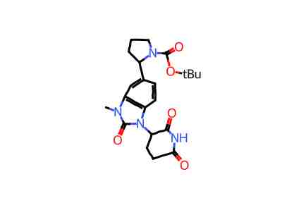 Cn1c(=O)n(C2CCC(=O)NC2=O)c2ccc(C3CCCN3C(=O)OC(C)(C)C)cc21